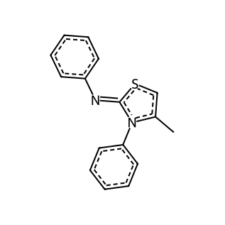 Cc1csc(=Nc2ccccc2)n1-c1ccccc1